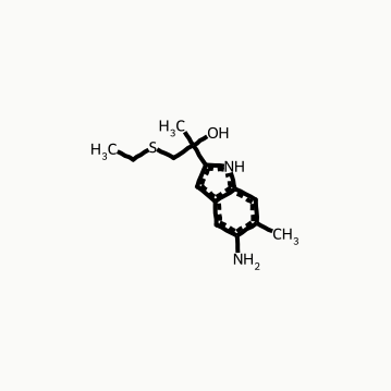 CCSCC(C)(O)c1cc2cc(N)c(C)cc2[nH]1